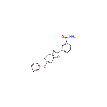 NC(=O)c1cccc(-c2nc3ccc(Oc4ccccc4)cc3o2)c1